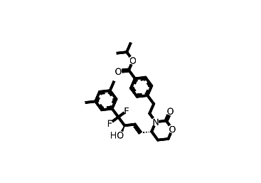 Cc1cc(C)cc(C(F)(F)[C@H](O)C=C[C@H]2CCOC(=O)N2CCc2ccc(C(=O)OC(C)C)cc2)c1